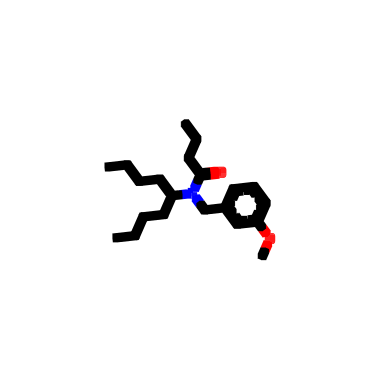 CCCCC(CCCC)N(Cc1cccc(OC)c1)C(=O)CCC